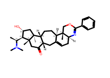 C[C@@H]([C@H]1[C@H](O)C[C@@]2(C)[C@@H]3CC[C@@H]4C(=CC[C@@H]5N=C(c6ccccc6)OC[C@]54C)C[C@@H]3C(=O)C[C@]12C)N(C)C